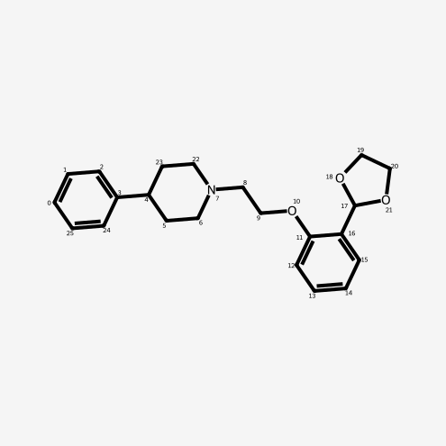 c1ccc(C2CCN(CCOc3ccccc3C3OCCO3)CC2)cc1